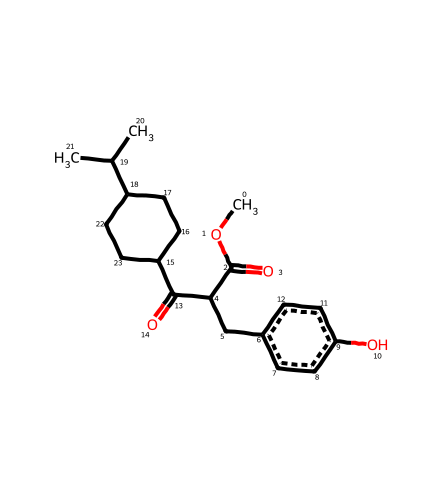 COC(=O)C(Cc1ccc(O)cc1)C(=O)C1CCC(C(C)C)CC1